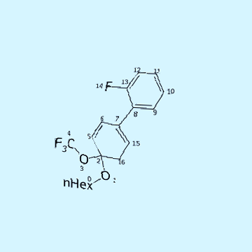 CCCCCCOC1(OC(F)(F)F)C=CC(c2ccccc2F)=CC1